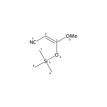 COC(=CC#N)O[Si](C)(C)C